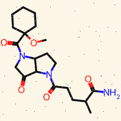 COC1(C(=O)N2CC(=O)C3C2CCN3C(=O)[CH]CC(C)C(N)=O)CCCCC1